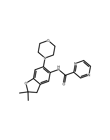 CC1(C)Cc2cc(NC(=O)c3cnccn3)c(N3CCOCC3)cc2O1